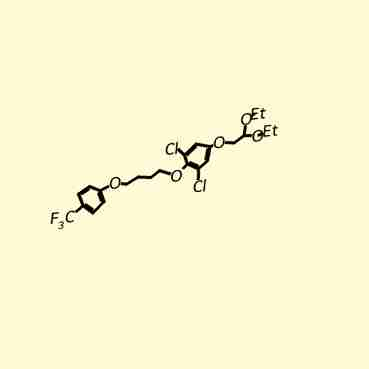 CCOC(COc1cc(Cl)c(OCCCCOc2ccc(C(F)(F)F)cc2)c(Cl)c1)OCC